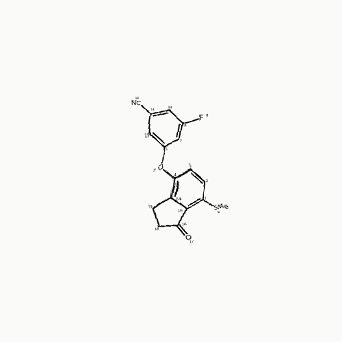 CSc1ccc(Oc2cc(F)cc(C#N)c2)c2c1C(=O)CC2